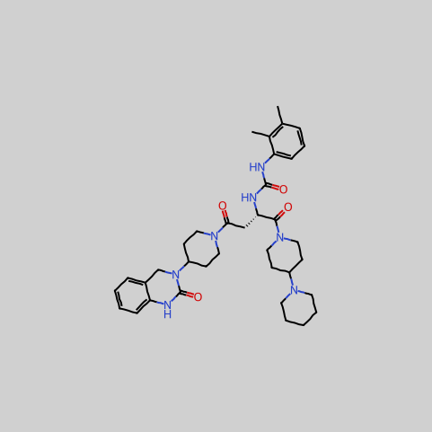 Cc1cccc(NC(=O)N[C@@H](CC(=O)N2CCC(N3Cc4ccccc4NC3=O)CC2)C(=O)N2CCC(N3CCCCC3)CC2)c1C